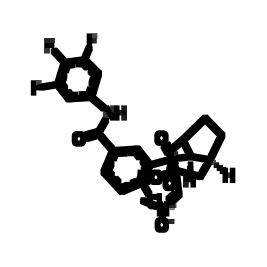 C/[N+]([O-])=C\[C@]1(O)CC2CC[C@@H](C1)[C@H]2S(=O)(=O)c1cc(C(=O)Nc2cc(F)c(F)c(F)c2)ccc1Cl